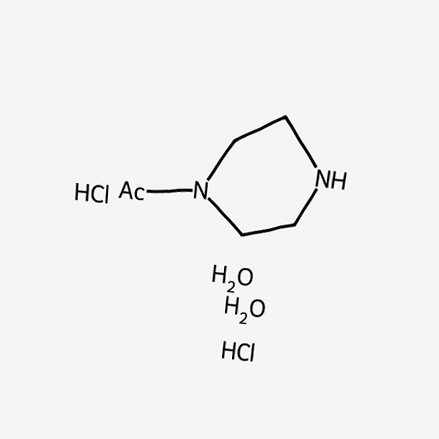 CC(=O)N1CCNCC1.Cl.Cl.O.O